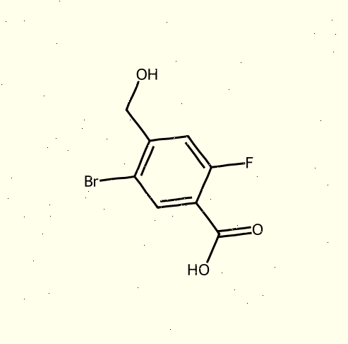 O=C(O)c1cc(Br)c(CO)cc1F